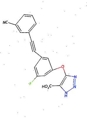 N#Cc1cccc(C#Cc2cc(F)cc(Oc3nn[nH]c3C(=O)O)c2)c1